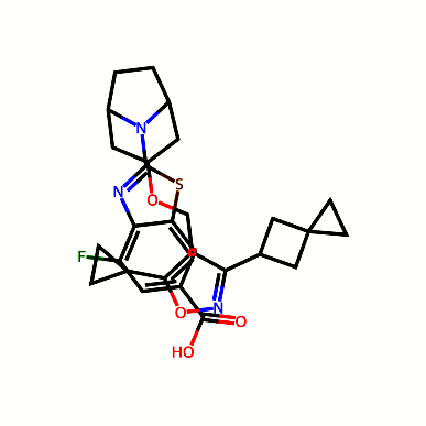 O=C(O)c1cc(F)c2nc(N3C4CCC3CC(OCc3c(C5CC6(CC6)C5)noc3C3CC3)C4)sc2c1